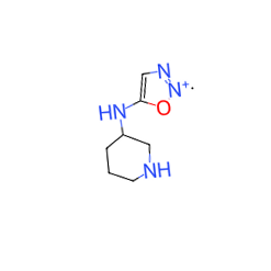 C1=C(NC2CCCNC2)O[N+]=N1